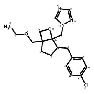 CCOCC12CCC(Cc3ccc(Cl)cc3)C1(Cn1cncn1)OC2